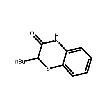 CCCCC1Sc2ccccc2NC1=O